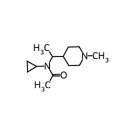 CC(=O)N(C1CC1)C(C)C1CCN(C)CC1